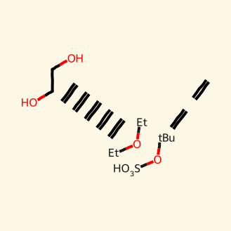 C=C.C=C.C=C.C=C.C=C.C=C.C=C.CC(C)(C)OS(=O)(=O)O.CCOCC.OCCO